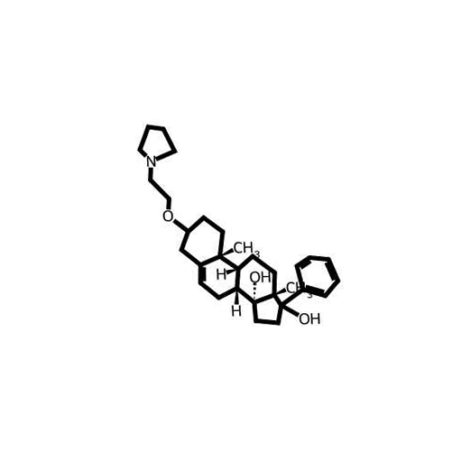 C[C@]12CCC(OCCN3CCCC3)CC1=CC[C@@H]1[C@H]2CC[C@]2(C)C(O)(c3ccccc3)CC[C@@]12O